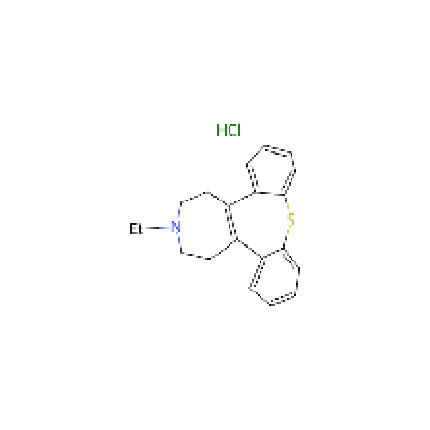 CCN1CCC2=C(CC1)c1ccccc1Sc1ccccc12.Cl